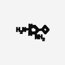 Nc1ncc(C2CCC2)c(N)n1